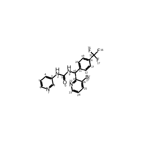 O=C(Nc1cccnc1)NC(c1ccc(C(F)(F)F)cc1)c1ncccc1Br